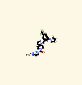 CSNc1ccn(C(=O)N2CCC3(CCCN3Cc3cc(N4CCCC4)cc(C(F)(F)F)c3)CC2)n1